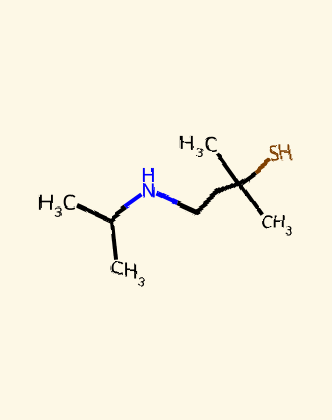 CC(C)NCC(C)(C)S